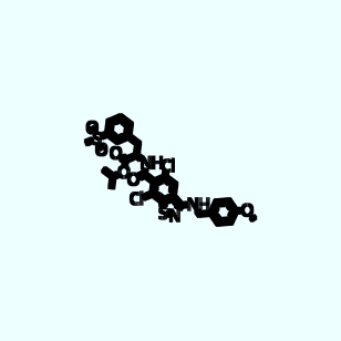 COc1ccc(CNc2nsc3c(Cl)c(C(=O)NC(Cc4cccc(S(C)(=O)=O)c4)C(=O)OC(C)C)c(Cl)cc23)cc1